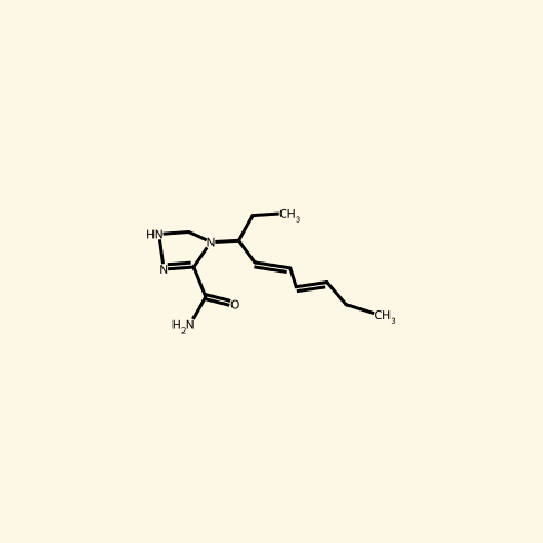 CC/C=C/C=C/C(CC)N1CNN=C1C(N)=O